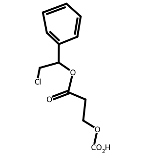 O=C(O)OCCC(=O)OC(CCl)c1ccccc1